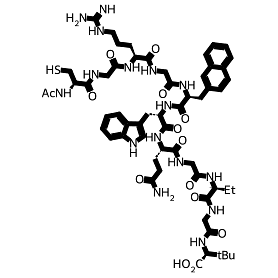 CC[C@H](NC(=O)CNC(=O)[C@H](CCC(N)=O)NC(=O)[C@H](Cc1c[nH]c2ccccc12)NC(=O)[C@H](Cc1ccc2ccccc2c1)NC(=O)CNC(=O)[C@H](CCCNC(=N)N)NC(=O)CNC(=O)[C@H](CS)NC(C)=O)C(=O)NCC(=O)N[C@H](C(=O)O)C(C)(C)C